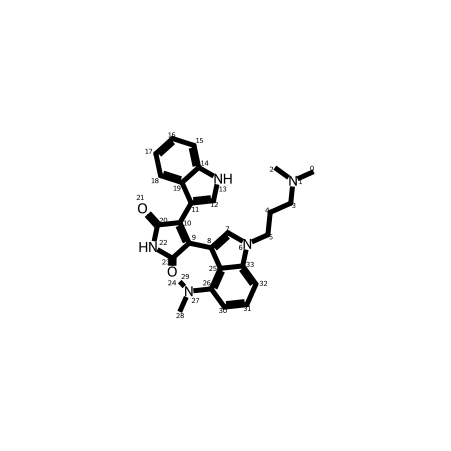 CN(C)CCCn1cc(C2=C(c3c[nH]c4ccccc34)C(=O)NC2=O)c2c(N(C)C)cccc21